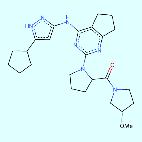 COC1CCN(C(=O)C2CCCN2c2nc3c(c(Nc4cc(C5CCCC5)[nH]n4)n2)CCC3)C1